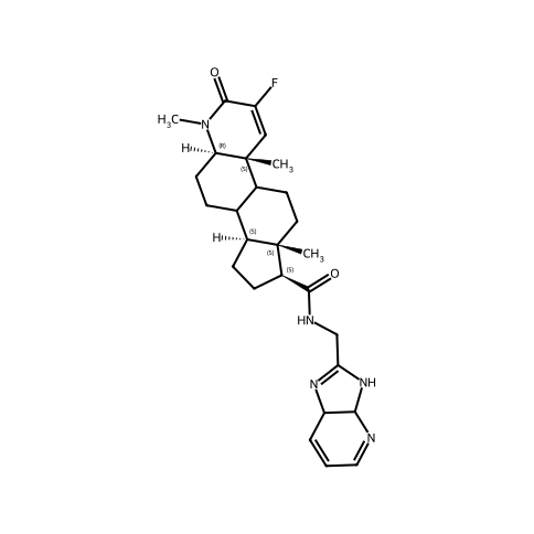 CN1C(=O)C(F)=C[C@]2(C)C3CC[C@]4(C)[C@@H](C(=O)NCC5=NC6C=CC=NC6N5)CC[C@H]4C3CC[C@@H]12